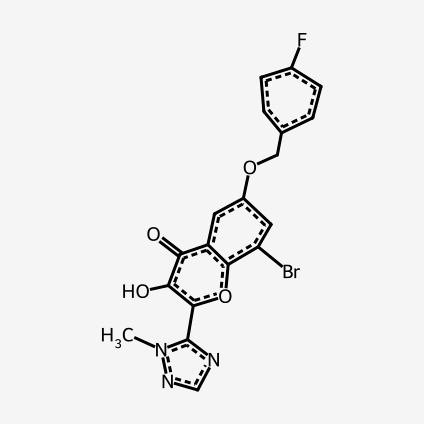 Cn1ncnc1-c1oc2c(Br)cc(OCc3ccc(F)cc3)cc2c(=O)c1O